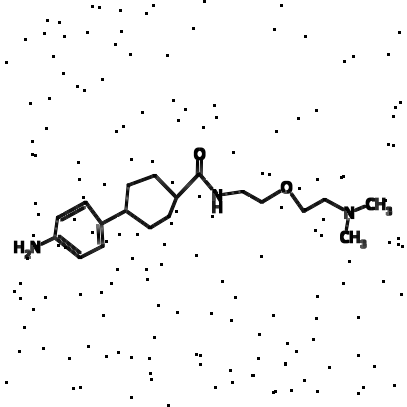 CN(C)CCOCCNC(=O)C1CCC(c2ccc(N)cc2)CC1